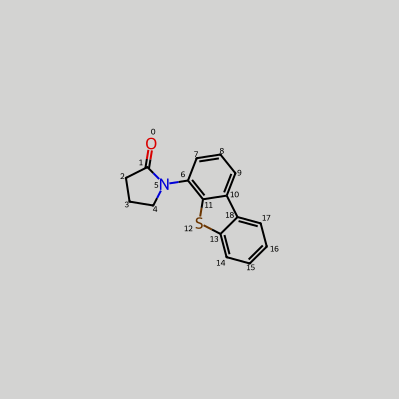 O=C1CCCN1c1cccc2c1sc1ccccc12